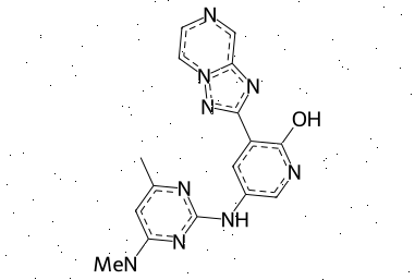 CNc1cc(C)nc(Nc2cnc(O)c(-c3nc4cnccn4n3)c2)n1